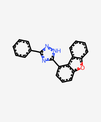 c1ccc(-c2n[nH]c(-c3cccc4oc5ccccc5c34)n2)cc1